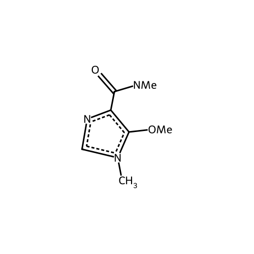 CNC(=O)c1ncn(C)c1OC